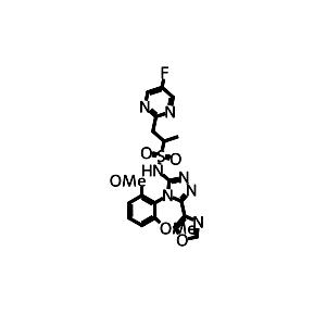 COc1cccc(OC)c1-n1c(NS(=O)(=O)C(C)Cc2ncc(F)cn2)nnc1-c1cocn1